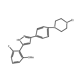 CCN1CCN(c2ccc(-c3cc(-c4c(F)cccc4OC)[nH]n3)cc2)CC1